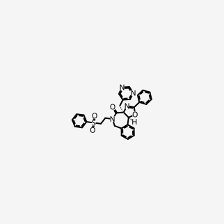 O=C1N(CCS(=O)(=O)c2ccccc2)Cc2ccccc2[C@@H]2OC(c3ccccc3)=N[C@]12Cc1cncnc1